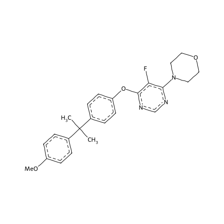 COc1ccc(C(C)(C)c2ccc(Oc3ncnc(N4CCOCC4)c3F)cc2)cc1